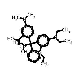 CCOc1cc(N(CC)CC)ccc1C(c1ccccc1)(c1ccc(N(C)C)cc1C(=O)O)N(C)C